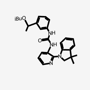 CC(C)COC(C)c1cccc(NC(=O)Nc2cccnc2N2CC(C)(C)c3ccccc32)c1